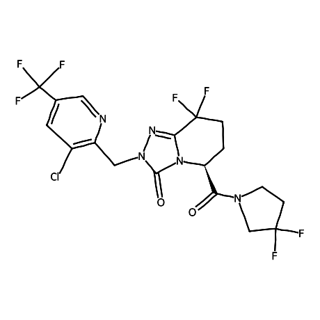 O=C([C@@H]1CCC(F)(F)c2nn(Cc3ncc(C(F)(F)F)cc3Cl)c(=O)n21)N1CCC(F)(F)C1